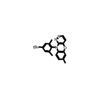 Cc1ccc2c(c1)Oc1ccnnc1N2c1c(C)cc(C(C)(C)C)cc1C